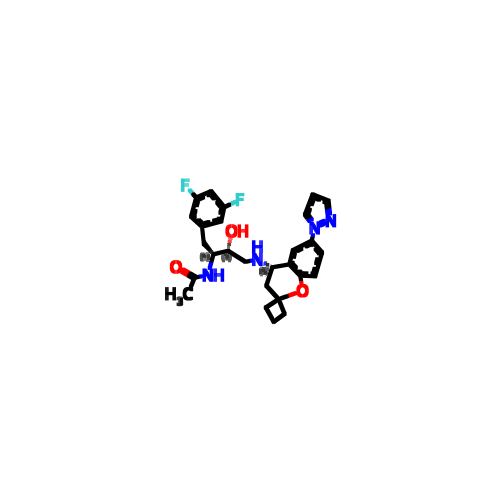 CC(=O)N[C@@H](Cc1cc(F)cc(F)c1)[C@H](O)CN[C@H]1CC2(CCC2)Oc2ccc(-n3cccn3)cc21